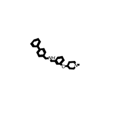 CN1CCC(Oc2cccc(CNCc3ccc(-c4ccccc4)cc3)c2)CC1